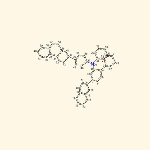 c1ccc(-c2ccc(-c3ccc4ccccc4c3)cc2N(c2ccccc2)c2ccc(-c3ccc4c(ccc5ccccc54)c3)cc2)cc1